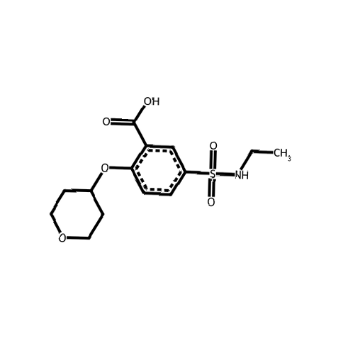 CCNS(=O)(=O)c1ccc(OC2CCOCC2)c(C(=O)O)c1